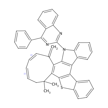 C=C1/C=C\C=C/CC(C)(C)c2c1c1c(c3ccccc3n1-c1nc(-c3ccccc3)c3ccccc3n1)c1c2sc2ccccc21